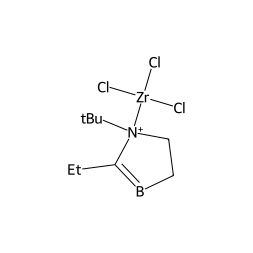 CCC1=BCC[N+]1(C(C)(C)C)[Zr]([Cl])([Cl])[Cl]